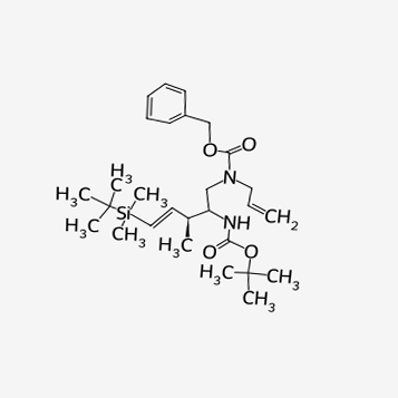 C=CCN(CC(NC(=O)OC(C)(C)C)[C@@H](C)C=C[Si](C)(C)C(C)(C)C)C(=O)OCc1ccccc1